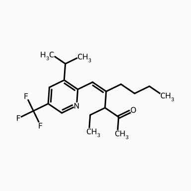 CCCC/C(=C/c1ncc(C(F)(F)F)cc1C(C)C)C(CC)C(C)=O